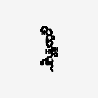 CCCCC[C@H](CN(O)C=O)C(=O)NNc1ccn(Cc2cccc3cccnc23)c(=O)c1